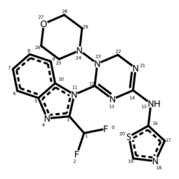 FC(F)c1nc2ccccc2n1C1=NC(Nc2cncs2)=NCN1N1CCOCC1